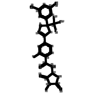 Cc1cc(C2=NOC(c3cc(Cl)cc(Cl)c3)(C(F)(F)F)C2)ccc1C(=O)NC1SC(=O)N(C)C1=O